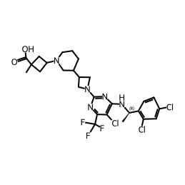 C[C@@H](Nc1nc(N2CC(C3CCCN(C4CC(C)(C(=O)O)C4)C3)C2)nc(C(F)(F)F)c1Cl)c1ccc(Cl)cc1Cl